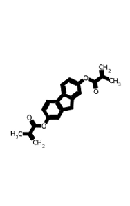 C=C(C)C(=O)Oc1ccc2c(c1)Cc1cc(OC(=O)C(=C)C)ccc1-2